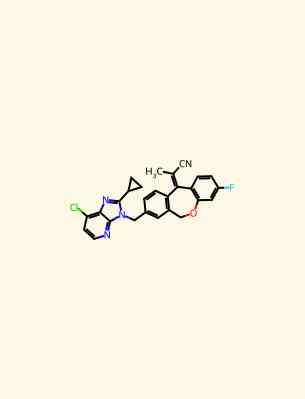 CC(C#N)=C1c2ccc(Cn3c(C4CC4)nc4c(Cl)ccnc43)cc2COc2cc(F)ccc21